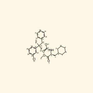 COC(=O)[C@H](CC1CCCCC1)NC(=O)O[C@@H](c1ccccc1)C(F)(F)c1cccc(Cl)c1